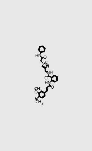 COc1ccc(C=CC(=O)Nc2ccccc2C(=O)NCc2cn(CC(=O)Nc3ccccc3)nn2)cc1OC